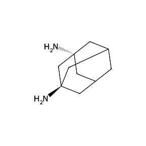 N[C@]12CC3CC(C[C@](N)(C3)C1)C2